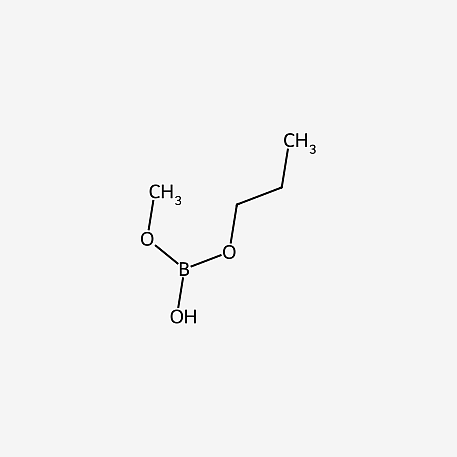 CCCOB(O)OC